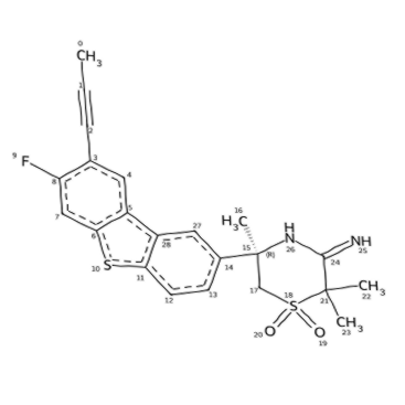 CC#Cc1cc2c(cc1F)sc1ccc([C@]3(C)CS(=O)(=O)C(C)(C)C(=N)N3)cc12